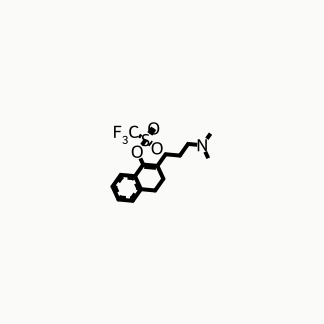 CN(C)CCCC1=C(OS(=O)(=O)C(F)(F)F)c2ccccc2CC1